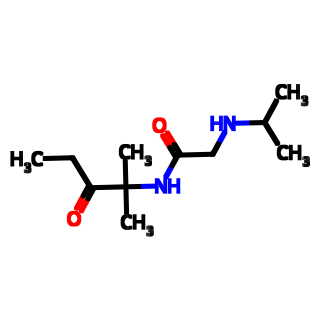 CCC(=O)C(C)(C)NC(=O)CNC(C)C